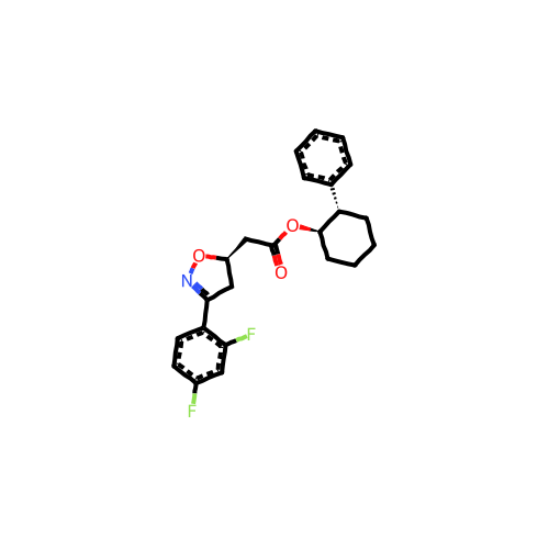 O=C(C[C@H]1CC(c2ccc(F)cc2F)=NO1)O[C@@H]1CCCC[C@H]1c1ccccc1